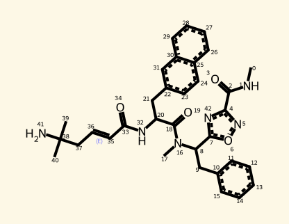 CNC(=O)c1noc(C(Cc2ccccc2)N(C)C(=O)C(Cc2ccc3ccccc3c2)NC(=O)/C=C/CC(C)(C)N)n1